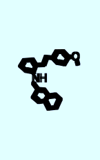 COc1ccc(/C=C/c2ccccc2NCc2ccc3ccccc3c2)cc1